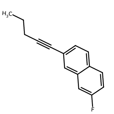 CCCC#Cc1ccc2ccc(F)cc2c1